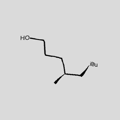 CC[C@H](C)C[C@@H](C)CCCO